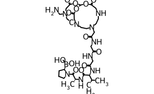 CC(C)[C@H](NC(=O)CNC(=O)CNC(=O)CN1CCNCC(=O)OC2OC(=O)CN(CN)CCN(CC1)CC(=O)O2)C(=O)N[C@H](C)C(=O)N1CCC[C@H]1B(O)O